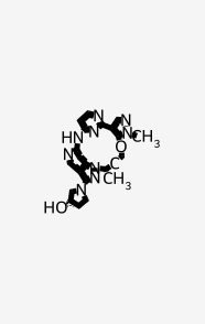 CC1CCOc2c(cnn2C)-c2nccc(n2)Nc2cc3c(cn2)c(N2CC[C@H](O)C2)nn31